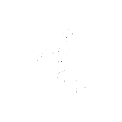 CC(C)(C)NS(=O)(=O)c1cccc(NC(=O)c2ccc(N3CCCS3(=O)=O)cc2N2CCC3(CC2)CC3)c1